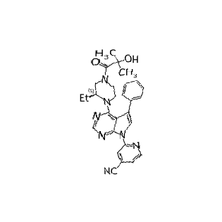 CC[C@H]1CN(C(=O)C(C)(C)O)CCN1c1ncnc2c1c(-c1ccccc1)cn2-c1cc(C#N)ccn1